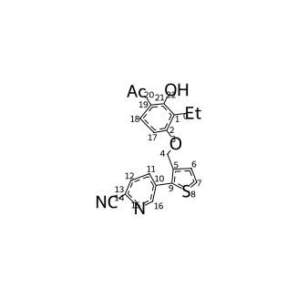 CCc1c(OCc2ccsc2-c2ccc(C#N)nc2)ccc(C(C)=O)c1O